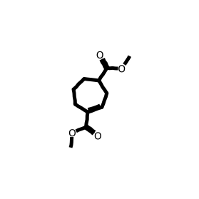 COC(=O)C1=CCC(C(=O)OC)CCC1